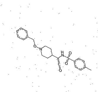 Cc1ccc(S(=O)(=O)NC(=C=O)C2CCN(OCc3ccccc3)CC2)cc1